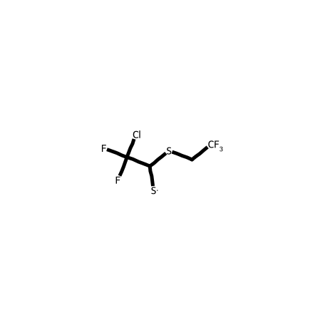 FC(F)(F)CSC([S])C(F)(F)Cl